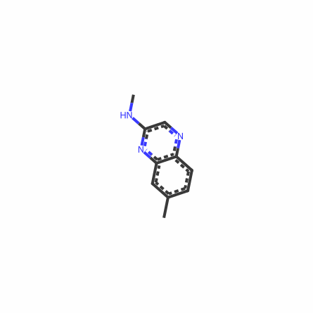 CNc1cnc2ccc(C)cc2n1